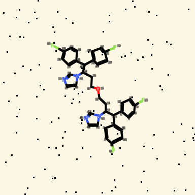 Fc1ccc(C(c2ccc(F)cc2)C(CCOCCC(C(c2ccc(F)cc2)c2ccc(F)cc2)n2ccnc2)n2ccnc2)cc1